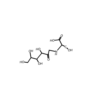 O=C(O)C(CO)NCC(=O)C(O)C(O)C(O)CO